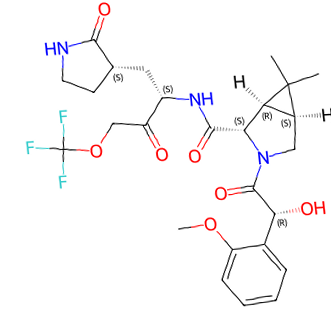 COc1ccccc1[C@@H](O)C(=O)N1C[C@H]2[C@@H]([C@H]1C(=O)N[C@@H](C[C@@H]1CCNC1=O)C(=O)COC(F)(F)F)C2(C)C